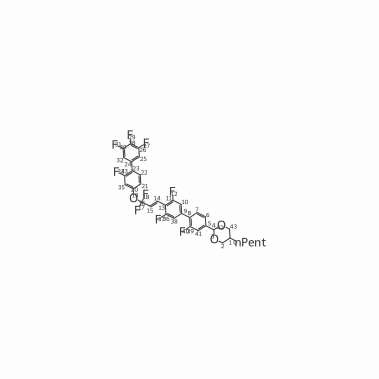 CCCCCC1COC(c2ccc(-c3cc(F)c(/C=C/C(F)(F)Oc4ccc(-c5cc(F)c(F)c(F)c5)c(F)c4)c(F)c3)c(F)c2)OC1